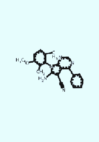 COc1ccc(C)c(-n2c(N)c(C#N)c3c(-c4ccccc4)ncnc32)c1C